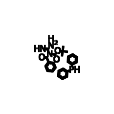 CC(C)(C)OC(=O)N(C(=N)N)C(=O)c1ccccc1.c1ccc(Pc2ccccc2)cc1